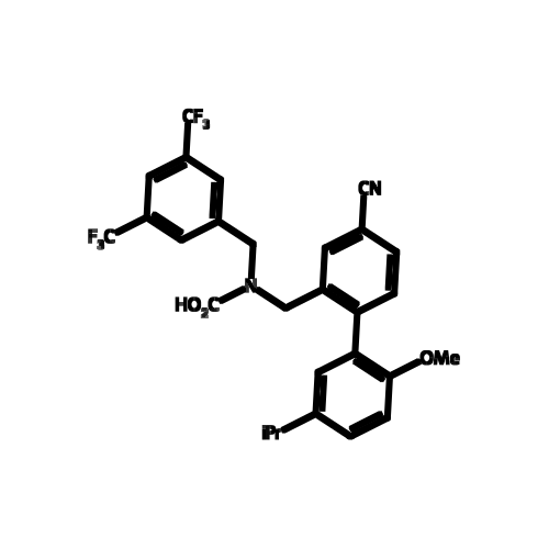 COc1ccc(C(C)C)cc1-c1ccc(C#N)cc1CN(Cc1cc(C(F)(F)F)cc(C(F)(F)F)c1)C(=O)O